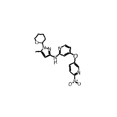 Cc1cc(Nc2cc(Oc3ccc([N+](=O)[O-])nc3)ccn2)nn1C1CCCCO1